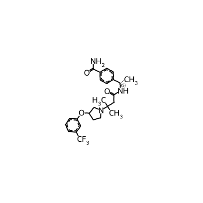 C[C@H](NC(=O)CC(C)(C)N1CCC(Oc2cccc(C(F)(F)F)c2)C1)c1ccc(C(N)=O)cc1